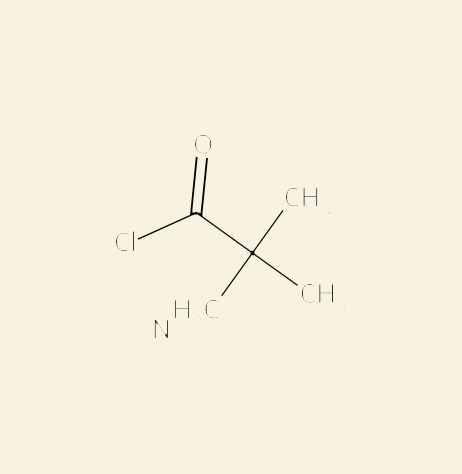 CC(C)(C)C(=O)Cl.[N]